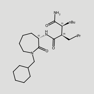 CCCC[C@H](C(N)=O)[C@@H](CC(C)C)C(=O)N[C@H]1CCCCN(CC2CCCCC2)C1=O